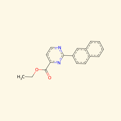 CCOC(=O)c1ccnc(-c2ccc3ccccc3c2)n1